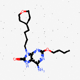 CCCCOc1nc(N)c2[nH]c(=O)n(CCCCC3CCOCC3)c2n1